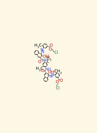 Cc1ccc(C(=O)OCCCl)cc1/N=N/c1c(O)c(C(=O)Nc2cc(C)c(NC(=O)c3cc4ccccc4c(/N=N/c4cc(C(=O)OCCCl)ccc4C)c3O)cc2C)cc2ccccc12